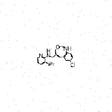 CC(C)c1cccnc1NC/C1=C/c2cc(Cl)ccc2NCOC1